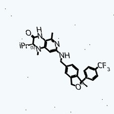 Cc1nc(NCc2ccc3c(c2)CO[C@@]3(C)c2ccc(C(F)(F)F)cc2)cc2c1NC(=O)[C@H](C(C)C)N2C